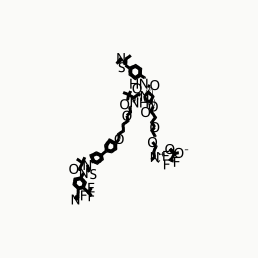 Cc1ncsc1-c1ccc(CNC(=O)[C@@H]2C[C@@H](OC(=O)CCOCCOCC[N+](C)(C)C)CN2C(=O)[C@@H](NC(=O)COCCCCOc2ccc(-c3ccc(N4C(=S)N(c5ccc(C#N)c(C(F)(F)F)c5)C(=O)C4(C)C)cc3)cc2)C(C)(C)C)cc1.O=C([O-])C(F)(F)F